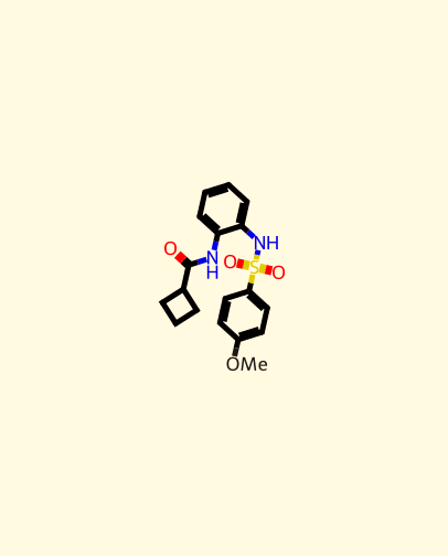 COc1ccc(S(=O)(=O)Nc2ccccc2NC(=O)C2CCC2)cc1